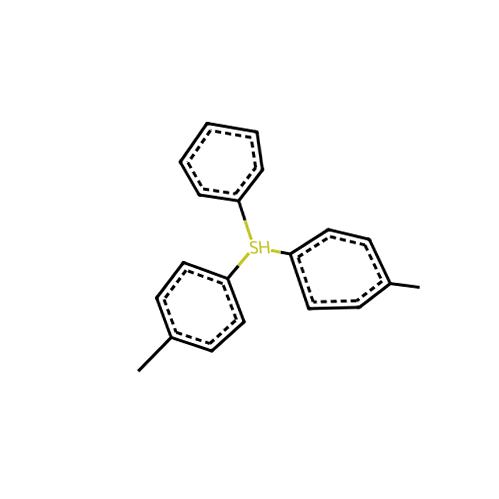 Cc1ccc([SH](c2ccccc2)c2ccc(C)cc2)cc1